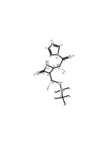 C[C@@H](O[Si](C)(C)C(C)(C)C)C1C(=O)NC1[C@@H](C)C(=O)n1ccnc1